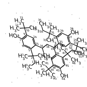 CCC(C)(C)c1cc(O)c(C(C)(C)C)cc1C(C)CC(c1cc(C(C)(C)C)c(O)cc1C(C)(C)CC)c1cc(C(C)(C)C)c(O)cc1C(C)(C)CC